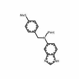 CCCC(C)N(Cc1ccc(SC)cc1)c1ccc2[nH]cnc2c1